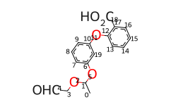 CC(OCC=O)Oc1cccc(Oc2ccccc2C(=O)O)c1